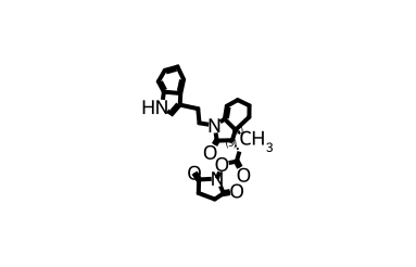 C[C@@]12CCCC=C1N(CCc1c[nH]c3ccccc13)C(=O)[C@H]2CC(=O)ON1C(=O)CCC1=O